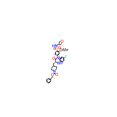 COc1cc(NC(=O)[C@H](CC2CCN(C(=O)OCc3ccccc3)CC2)Nc2ccc(F)cc2)ccc1S(=O)(=O)NC1COC1